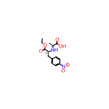 CCOC(=O)[C@H](Cc1ccc([N+](=O)[O-])cc1)N[C@@H](C)C(=O)O